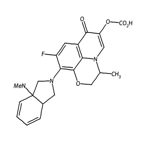 CNC12C=CC=CC1CN(c1c(F)cc3c(=O)c(OC(=O)O)cn4c3c1OCC4C)C2